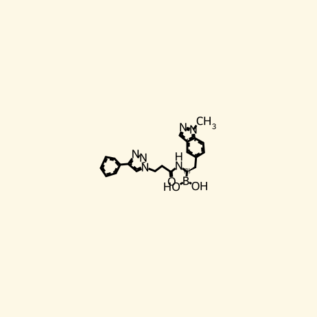 Cn1ncc2cc(C[C@H](NC(=O)CCn3cc(-c4ccccc4)nn3)B(O)O)ccc21